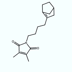 CC1=C(C)C(=O)N(CCCCC2=C3CCC(C2)C3)C1=O